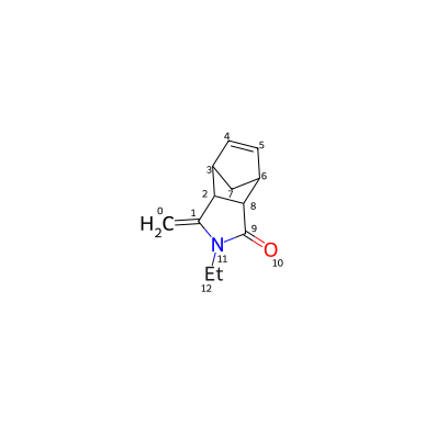 C=C1C2C3C=CC(C3)C2C(=O)N1CC